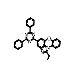 CCc1nc2cc(-c3nc(-c4ccccc4)nc(-c4ccccc4)n3)cc3c2n1-c1ccccc1O3